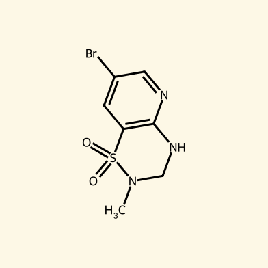 CN1CNc2ncc(Br)cc2S1(=O)=O